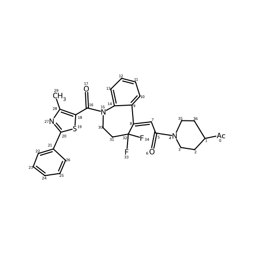 CC(=O)C1CCN(C(=O)C=C2c3ccccc3N(C(=O)c3sc(-c4ccccc4)nc3C)CCC2(F)F)CC1